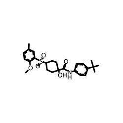 COc1ccc(C)cc1S(=O)(=O)C1CCC(O)(C(=O)Nc2ccc(C(C)(C)C)cc2)CC1